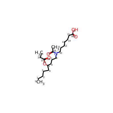 CCCCCC(CCCN(CCCCCCC(=O)O)C(C)=O)OC(=O)CC